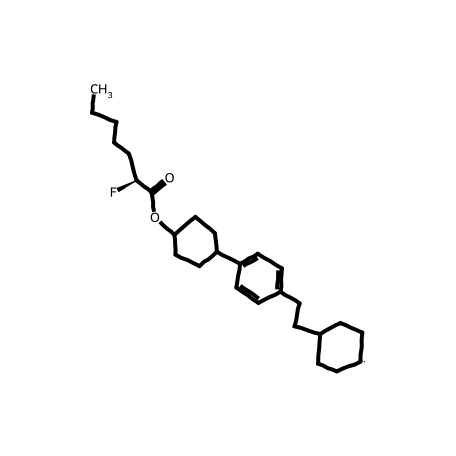 CCCCC[C@H](F)C(=O)OC1CCC(c2ccc(CCC3CC[CH]CC3)cc2)CC1